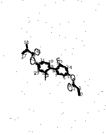 C=CC(=O)Oc1ccc(-c2ccc(OC(=O)C(=C)C)cc2F)c(F)c1